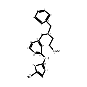 COCCN(Cc1ccccc1)Cc1ccnc(Nc2ncc(C#N)s2)c1